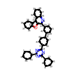 c1ccc(-c2nc(-c3ccccc3)nc(-c3ccc(-c4cccc(-c5nc6ccccc6c6c5oc5ccccc56)c4)cc3)n2)cc1